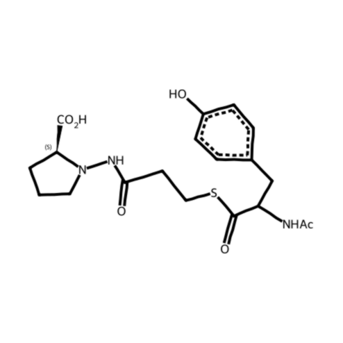 CC(=O)NC(Cc1ccc(O)cc1)C(=O)SCCC(=O)NN1CCC[C@H]1C(=O)O